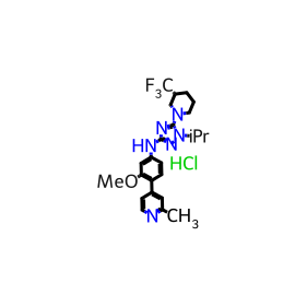 COc1cc(Nc2nc(N3CCCC(C(F)(F)F)C3)n(C(C)C)n2)ccc1-c1ccnc(C)c1.Cl